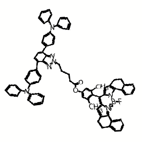 Cc1cc(OC(=O)CCCCn2nc3c(-c4ccc(N(c5ccccc5)c5ccccc5)cc4)ccc(-c4ccc(N(c5ccccc5)c5ccccc5)cc4)c3n2)cc(C)c1/C(=C1\C=C2CCc3ccccc3C2=N1)c1cc2c(n1B(F)F)-c1ccccc1CC2